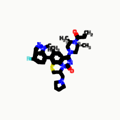 C=CC(=O)N1[C@H](C)CN(c2nc(=O)n3c4c(c(-c5ccc(F)c6cnn(C)c56)c(C)cc24)SCC3CN2CCCC2)C[C@@H]1C